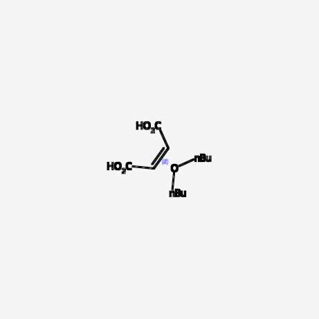 CCCCOCCCC.O=C(O)/C=C\C(=O)O